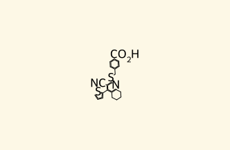 N#Cc1c(SCc2ccc(C(=O)O)cc2)nc2c(c1-c1cccs1)CCCC2